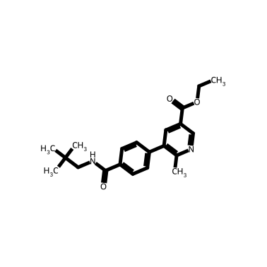 CCOC(=O)c1cnc(C)c(-c2ccc(C(=O)NCC(C)(C)C)cc2)c1